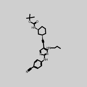 CCCNc1nc(Nc2ccc(C#N)cc2)ncc1C#C[C@@H]1CCC[C@H](NC(=O)OC(C)(C)C)C1